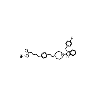 CC(C)OC(=O)CCCCc1ccc(CCN2CCCN(c3nc4ccccc4n3Cc3ccc(F)cc3)CCC2)cc1